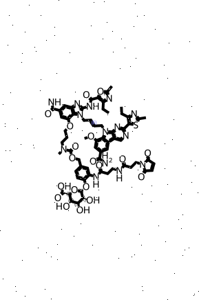 CCc1nc(C)oc1C(=O)Nc1nc2cc(C(N)=O)cc(OCCCN(C)C(=O)OCc3ccc(O[C@@H]4O[C@H](C(=O)O)[C@@H](O)[C@H](O)[C@H]4O)c(NC(=O)CCNC(=O)CCN4C(=O)C=CC4=O)c3)c2n1C/C=C/Cn1c2nc(-c3sc(C)nc3CC)ncc2c2cc(C(N)=O)cc(OC)c21